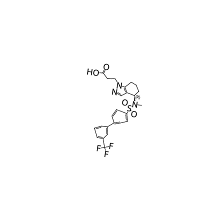 CN([C@@H]1CCCc2c1cnn2CCC(=O)O)S(=O)(=O)c1ccc(-c2cccc(C(F)(F)F)c2)cc1